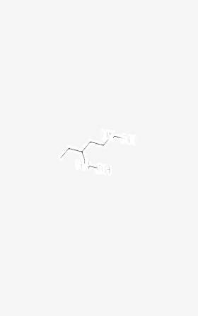 CCC(CCNO)NO